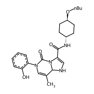 CCCCO[C@H]1CC[C@H](NC(=O)C2=CNC3C(C)=CN(c4ccccc4O)C(=O)N23)CC1